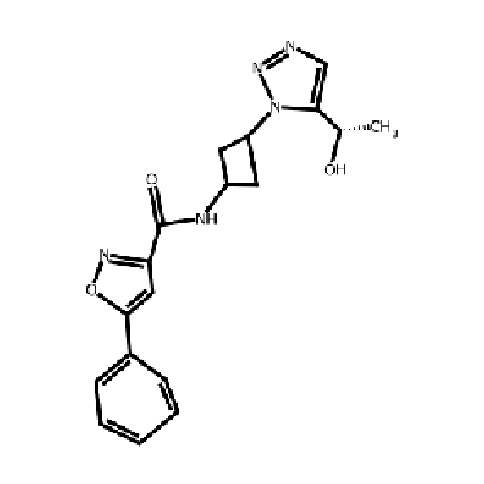 C[C@H](O)c1cnnn1C1CC(NC(=O)c2cc(-c3ccccc3)on2)C1